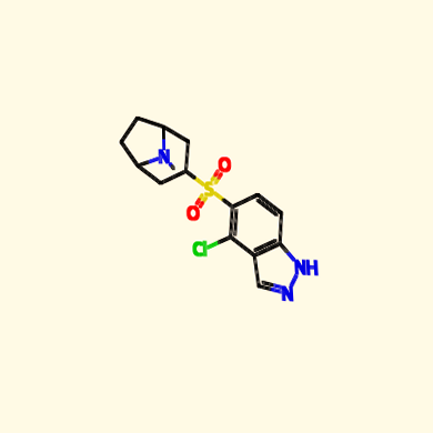 CN1C2CCC1CC(S(=O)(=O)c1ccc3[nH]ncc3c1Cl)C2